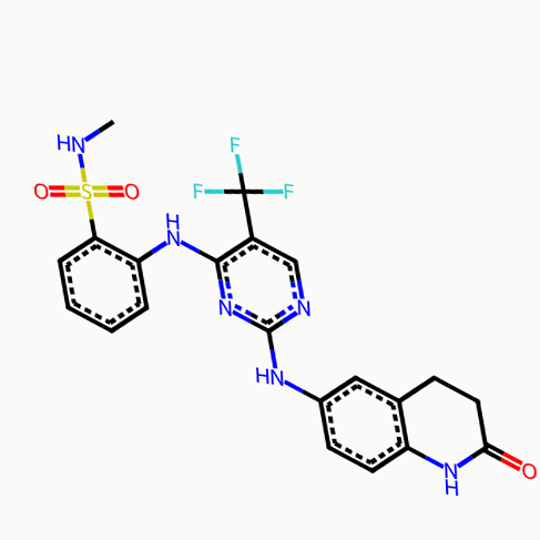 CNS(=O)(=O)c1ccccc1Nc1nc(Nc2ccc3c(c2)CCC(=O)N3)ncc1C(F)(F)F